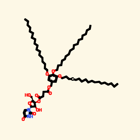 CCCCCCCCCCCCCCCCCCOc1cc(COC(=O)CCC(=O)O[C@H]2[C@@H](O)[C@H](n3ccc(=O)[nH]c3=O)O[C@@H]2CO)cc(OCCCCCCCCCCCCCCCCCC)c1OCCCCCCCCCCCCCCCCCC